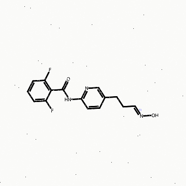 O=C(Nc1ccc(CC/C=N/O)cn1)c1c(F)cccc1F